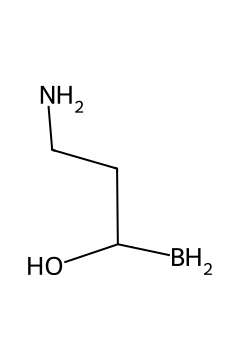 BC(O)CCN